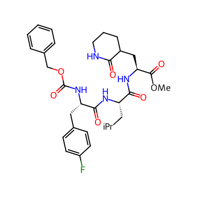 COC(=O)[C@H](CC1CCCNC1=O)NC(=O)[C@H](CC(C)C)NC(=O)[C@H](Cc1ccc(F)cc1)NC(=O)OCc1ccccc1